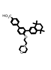 CC1(C)CCC(C)(C)c2cc(-c3cc(-c4ccc(C(=O)O)cc4)ccc3OCCN3CCOCC3)ccc21